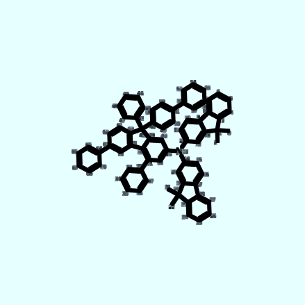 CC1(C)c2ccccc2-c2ccc(N(c3ccc4c(c3)C(C)(C)c3ccccc3-4)c3cc(-c4ccccc4)c4c(c3)C(c3ccccc3)(c3ccc(-c5ccccc5)cc3)c3ccc(-c5ccccc5)cc3-4)cc21